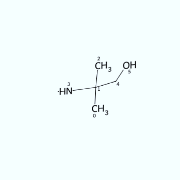 CC(C)([NH])CO